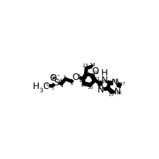 CC[S+]([O-])CCCOc1ccc(-c2nc3cncnc3[nH]2)c2c1CCO2